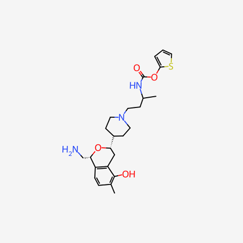 Cc1ccc2c(c1O)C[C@@H](C1CCN(CCC(C)NC(=O)Oc3cccs3)CC1)O[C@H]2CN